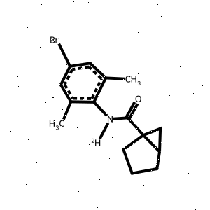 [2H]N(C(=O)C12CCCC1C2)c1c(C)cc(Br)cc1C